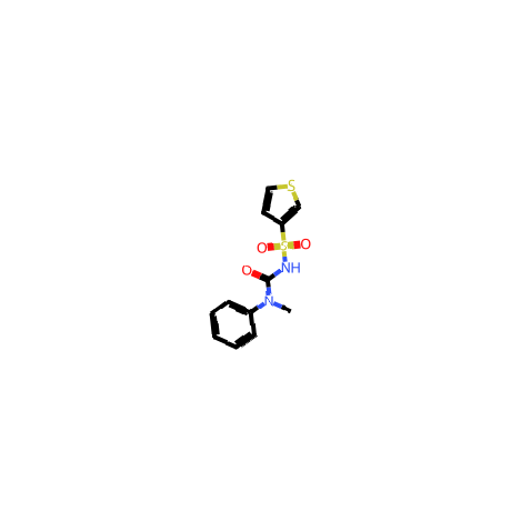 CN(C(=O)NS(=O)(=O)c1ccsc1)c1ccccc1